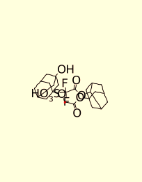 O=C(COC12CC3CC(CC(O)(C3)C1)C2)OC12CC3CC(C1)C(OC(=O)C(F)(F)S(=O)(=O)O)C(C3)C2